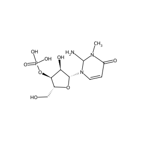 CN1C(=O)C=CN([C@@H]2O[C@H](CO)[C@@H](OP(=O)(O)O)[C@H]2O)C1N